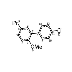 COc1ccc(C(C)C)cc1-c1ccc(Cl)cc1